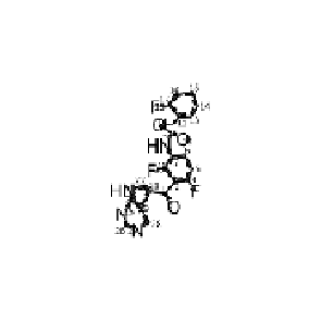 O=C(c1c(F)ccc(NS(=O)(=O)c2ccccc2F)c1F)c1c[nH]c2ncncc12